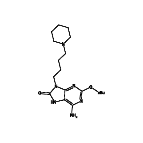 CCCCOc1nc(N)c2[nH]c(=O)n(CCCCN3CCCCC3)c2n1